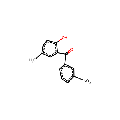 Cc1ccc(O)c(C(=O)c2cccc([N+](=O)[O-])c2)c1